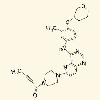 CC#CC(=O)N1CCN(c2ccc3ncnc(Nc4ccc(OC5CCCOC5)c(C)c4)c3n2)CC1